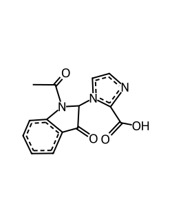 CC(=O)N1c2ccccc2C(=O)C1n1ccnc1C(=O)O